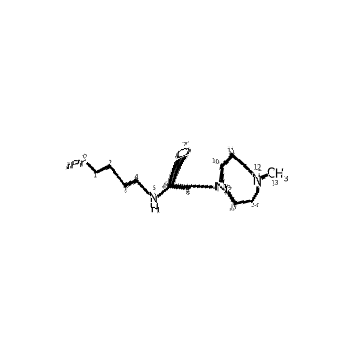 CC(C)CCCCNC(=O)CN1CCN(C)CC1